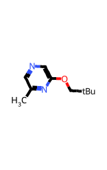 Cc1cncc(OCC(C)(C)C)n1